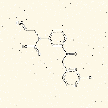 C=CCN(C(=O)O)c1cccc(C(=O)Cc2ccnc(Cl)n2)c1